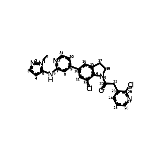 Cn1nccc1Nc1cc(-c2cc(Cl)c3c(c2)CCN3C(=O)Cc2cccnc2Cl)ccn1